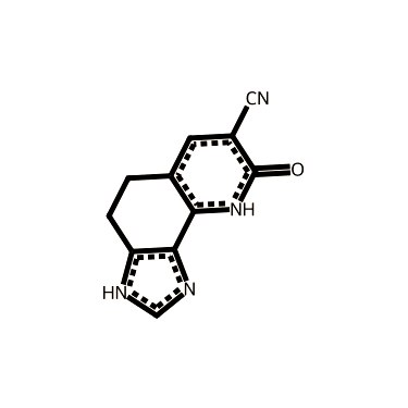 N#Cc1cc2c([nH]c1=O)-c1nc[nH]c1CC2